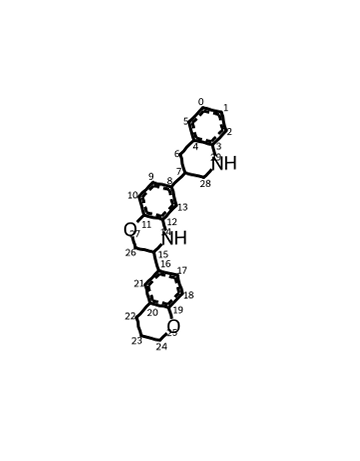 c1ccc2c(c1)CC(c1ccc3c(c1)NC(c1ccc4c(c1)CCCO4)CO3)CN2